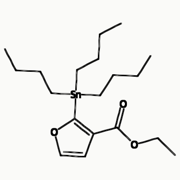 CCC[CH2][Sn]([CH2]CCC)([CH2]CCC)[c]1occc1C(=O)OCC